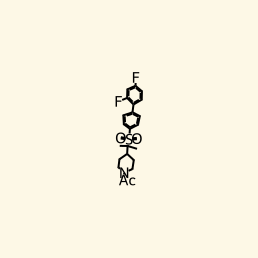 CC(=O)N1CCC(C(C)(C)S(=O)(=O)c2ccc(-c3ccc(F)cc3F)cc2)CC1